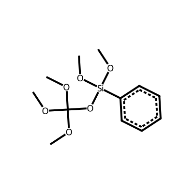 COC(OC)(OC)O[Si](OC)(OC)c1ccccc1